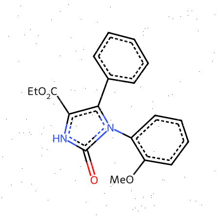 CCOC(=O)c1[nH]c(=O)n(-c2ccccc2OC)c1-c1ccccc1